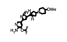 COC1CCN(C2C[C@@H]3C(c4cc(-c5cnc(N)c(OC(F)F)c5)nn4C(C)C)[C@@H]3C2)CC1